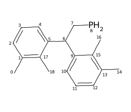 Cc1cccc(C(CP)c2cccc(C)c2C)c1C